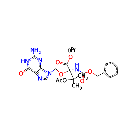 CCCOC(=O)[C@](NC(=O)OCc1ccccc1)(OCn1cnc2c(=O)[nH]c(N)nc21)C(C)(C)OC(C)=O